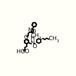 CCCCC[C@H]1CC[C@H](C(=O)NCc2cc(OCCc3nc(-c4ccccc4)oc3C)ccc2CCC(=O)O)CC1